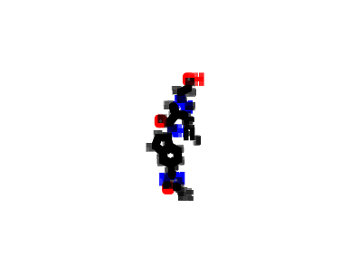 CCc1nc(-c2ccc3c(c2)CC[C@H]3NC(=O)c2cn(CCO)nc2C)no1